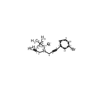 C#CCN(CC#Cc1cccc(Br)c1)[S@+]([O-])C(C)(C)C